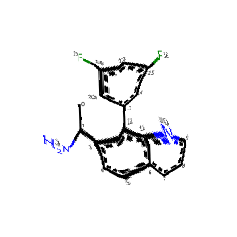 CC(N)c1ccc2cccnc2c1-c1cc(F)cc(F)c1